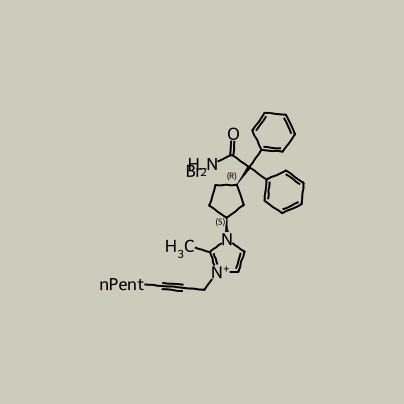 CCCCCC#CC[n+]1ccn([C@H]2CC[C@@H](C(C(N)=O)(c3ccccc3)c3ccccc3)C2)c1C.[Br-]